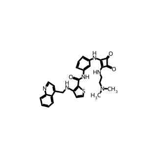 CN(C)CCNc1c(Nc2cccc(NC(=O)c3sccc3NCc3ccnc4ccccc34)c2)c(=O)c1=O